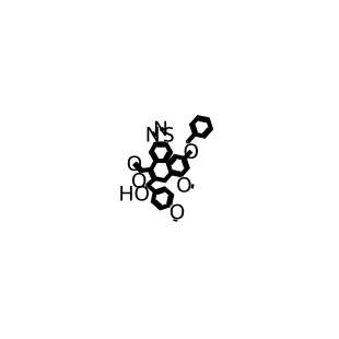 COc1ccc(C2(O)OC(=O)C(c3ccc4snnc4c3)=C2Cc2ccc(OCc3ccccc3)cc2OC)cc1